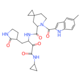 Cc1ccc2[nH]c(C(=O)N3CCC4(CC4)CC3C(=O)NC(CC3CCNC3=O)C(=O)C(=O)NC3CC3)cc2c1